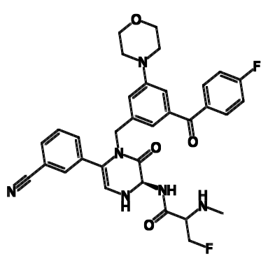 CNC(CF)C(=O)N[C@H]1NC=C(c2cccc(C#N)c2)N(Cc2cc(C(=O)c3ccc(F)cc3)cc(N3CCOCC3)c2)C1=O